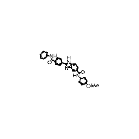 COc1ccc(NC(=O)c2ccc3[nH]c(-c4ccc(C(=O)Nc5ccccc5)cc4)nc3c2)cc1